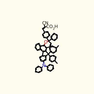 Cc1ccc(C2(c3ccc(C)cc3)c3cc(N(c4ccccc4)c4ccccc4)ccc3-c3c2c2c(c4ccccc34)OC(c3ccccc3)(c3ccc(/C=C(/C#N)C(=O)O)cc3)C=C2)cc1